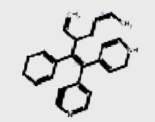 C=CC(C/C=C\C)/C(C1=CCCC=C1)=C(\C1=CCNC=C1)c1c#cncc1